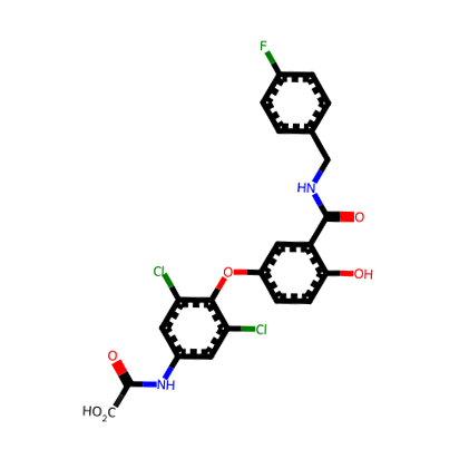 O=C(O)C(=O)Nc1cc(Cl)c(Oc2ccc(O)c(C(=O)NCc3ccc(F)cc3)c2)c(Cl)c1